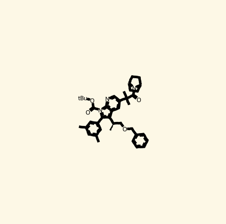 Cc1cc(C)cc(-c2c([C@H](C)COCc3ccccc3)c3cc(C(C)(C)C(=O)N4C5CCC4CC5)cnc3n2C(=O)OC(C)(C)C)c1